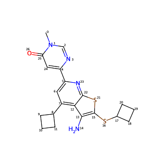 Cn1cnc(-c2cc(C3CCC3)c3c(N)c(SC4CCC4)sc3n2)cc1=O